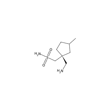 CC1CC[C@@](CN)(CS(N)(=O)=O)C1